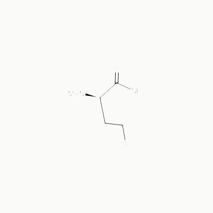 CN[C@H](CCC(C)=O)C(N)=O